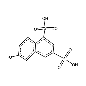 [O]c1ccc2c(S(=O)(=O)O)cc(S(=O)(=O)O)cc2c1